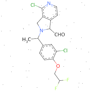 CC(c1ccc(OCC(F)F)c(Cl)c1)N1Cc2c(ccnc2Cl)C1C=O